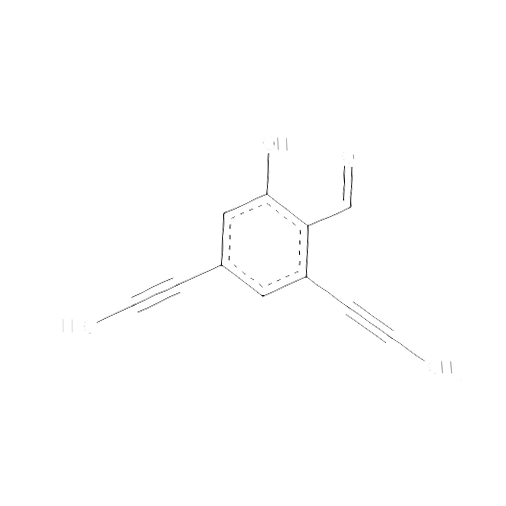 CC#Cc1cc(O)c(C=O)c(C#CC)c1